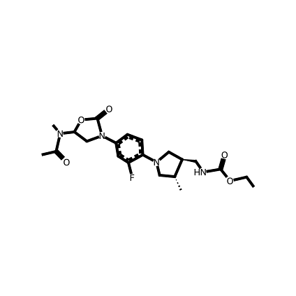 CCOC(=O)NC[C@@H]1CN(c2ccc(N3CC(N(C)C(C)=O)OC3=O)cc2F)C[C@H]1C